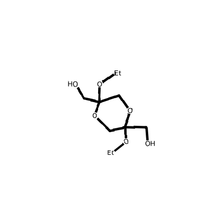 CCOC1(CO)COC(CO)(OCC)CO1